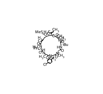 C/C=C(\C)[C@H]1OC(=O)C(C)(C)NC(=O)[C@H](C(C)CC)NC(=O)CN(C)C(=O)[C@@H](Cc2ccc(Cl)cc2)N(C)C(=O)[C@H](C)NC(=O)[C@@H](CC(C)C)N(C)C(=O)/C(C)=C/C[C@H](OCSC)[C@@H]1C